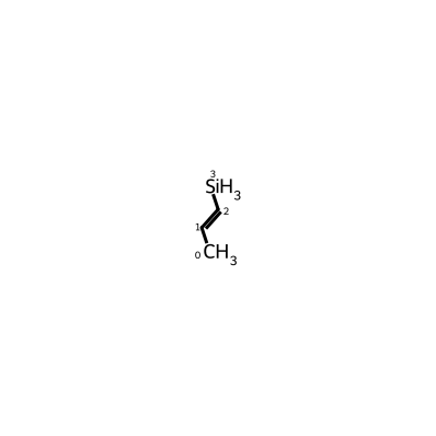 CC=C[SiH3]